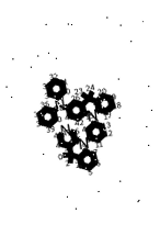 CC1(C)c2ccccc2N(c2cccc(N3c4ccccc4C(C)(C)c4cc(N(c5ccccc5)c5ccccc5)ccc43)c2)c2cnccc21